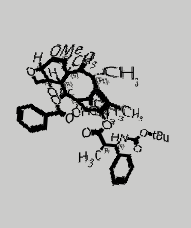 CO[C@H]1C[C@H]2OC[C@@]2(OC(C)=O)[C@H]2C(OC(=O)c3ccccc3)[C@]3(O)C[C@H](OC(=O)[C@H](C)[C@@H](NC(=O)OC(C)(C)C)c4ccccc4)C(C)=C([C@@H](C)C(=O)[C@]12C)C3(C)C